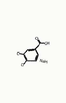 O=C(O)c1ccc(Cl)c(Cl)c1.[NaH]